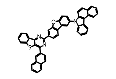 c1ccc2cc(-c3nc(-c4ccc5c(c4)oc4ccc(-n6c7ccccc7c7c8ccccc8ccc76)cc45)nc4c3sc3ccccc34)ccc2c1